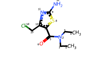 CCN(CC)C(=O)c1sc(N)nc1CCl